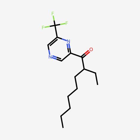 CCCCCCC(CC)C(=O)c1cncc(C(F)(F)F)n1